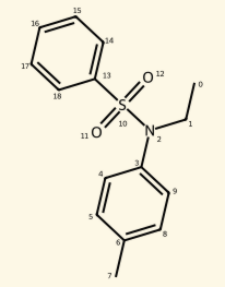 CCN(c1ccc(C)cc1)S(=O)(=O)c1ccccc1